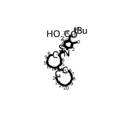 Cc1cc2nc(C3CCCCCCC(C4CCCCCCCCCC4)CC3)sc2cc1[C@H](OC(C)(C)C)C(=O)O